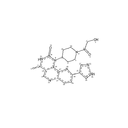 O=C(CO)N1CCC(n2c(=O)[nH]c(=O)c3cnc4ccc(-c5cn[nH]c5)nc4c32)CC1